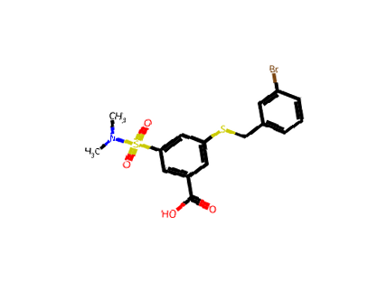 CN(C)S(=O)(=O)c1cc(SCc2cccc(Br)c2)cc(C(=O)O)c1